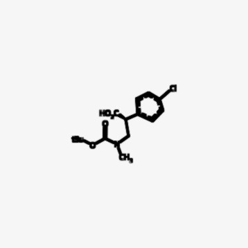 CN(C[C@@H](C(=O)O)c1ccc(Cl)cc1)C(=O)OC(C)(C)C